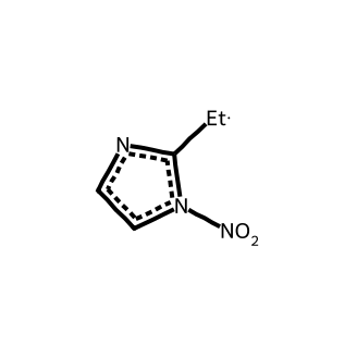 C[CH]c1nccn1[N+](=O)[O-]